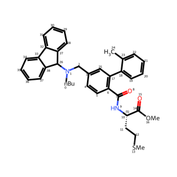 CCCCN(Cc1ccc(C(=O)N[C@@H](CCSC)C(=O)OC)c(-c2ccccc2C)c1)C1c2ccccc2-c2ccccc21